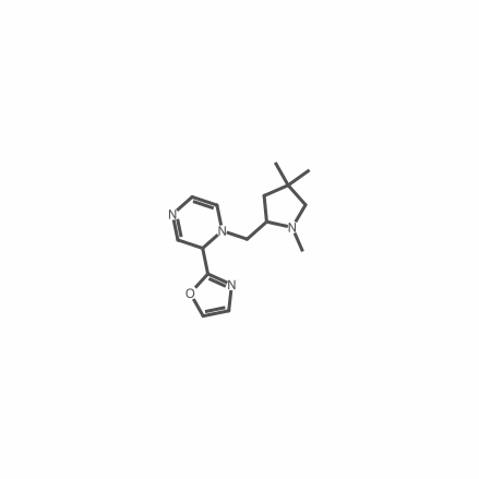 CN1CC(C)(C)CC1CN1C=CN=CC1c1ncco1